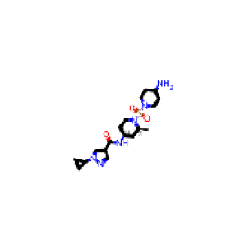 C[C@H]1C[C@@H](NC(=O)c2cnn(C3CC3)c2)CCN1S(=O)(=O)N1CCC(N)CC1